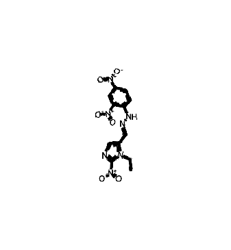 CCn1c(C=NNc2ccc([N+](=O)[O-])cc2[N+](=O)[O-])cnc1[N+](=O)[O-]